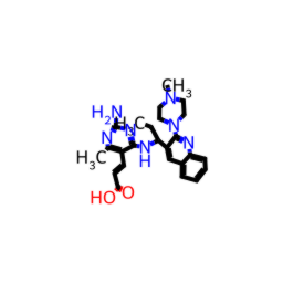 CCC(Nc1nc(N)nc(C)c1/C=C/C(=O)O)c1cc2ccccc2nc1N1CCN(C)CC1